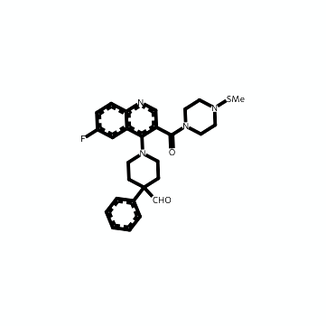 CSN1CCN(C(=O)c2cnc3ccc(F)cc3c2N2CCC(C=O)(c3ccccc3)CC2)CC1